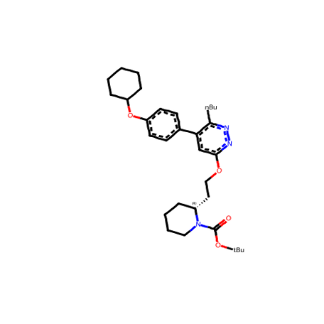 CCCCc1nnc(OCC[C@H]2CCCCN2C(=O)OC(C)(C)C)cc1-c1ccc(OC2CCCCC2)cc1